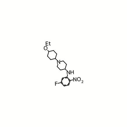 CCOC1CCC(N2CCC(Nc3cc(F)ccc3[N+](=O)[O-])CC2)CC1